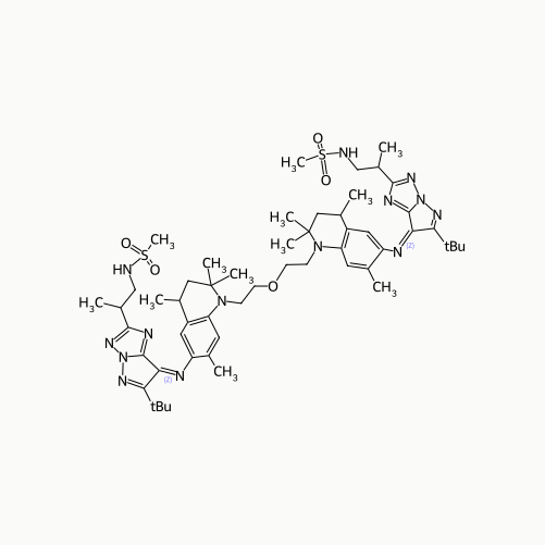 Cc1cc2c(cc1/N=C1/C(C(C)(C)C)=Nn3nc(C(C)CNS(C)(=O)=O)nc31)C(C)CC(C)(C)N2CCOCCN1c2cc(C)c(/N=C3/C(C(C)(C)C)=Nn4nc(C(C)CNS(C)(=O)=O)nc43)cc2C(C)CC1(C)C